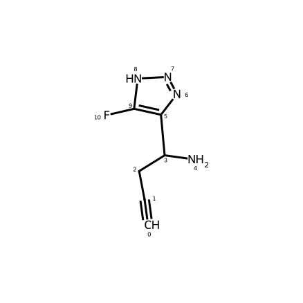 C#CCC(N)c1nn[nH]c1F